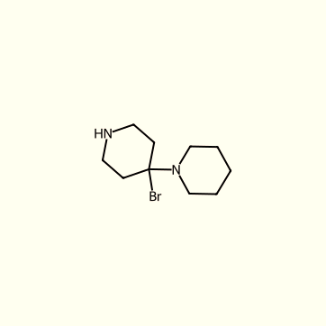 BrC1(N2CCCCC2)CCNCC1